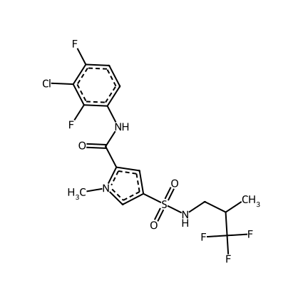 CC(CNS(=O)(=O)c1cc(C(=O)Nc2ccc(F)c(Cl)c2F)n(C)c1)C(F)(F)F